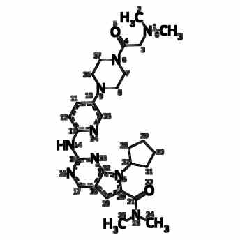 CN(C)CC(=O)N1CCN(c2ccc(Nc3ncc4cc(C(=O)N(C)C)n(C5CCCC5)c4n3)nc2)CC1